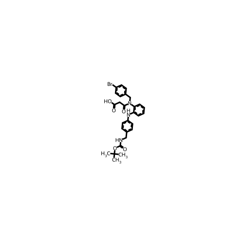 CC(C)(C)OC(=O)NCc1ccc(Nc2ccccc2N(Cc2ccc(Br)cc2)C(=O)CC(=O)O)cc1